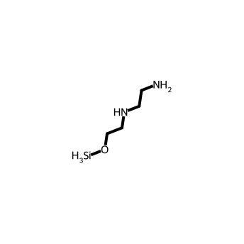 NCCNCCO[SiH3]